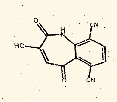 N#Cc1ccc(C#N)c2c(=O)cc(O)c(=O)[nH]c12